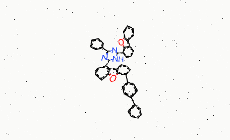 c1ccc(C2=NC(c3cccc4oc5c(-c6ccc(-c7ccccc7)cc6)cccc5c34)NC(c3cccc4c3oc3ccccc34)=N2)cc1